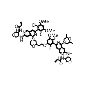 C=CC(=O)N[C@H]1COC[C@H]1Nc1cc2c(N3CC(C)OC(C)C3)nc(-c3c(F)c(OC)cc(OCCC4CN(c5nc(-c6c(Cl)c(OC)cc(OC)c6Cl)cc6cnc(N[C@@H]7COC[C@@H]7NC(=O)C=C)cc56)CCO4)c3F)cc2cn1